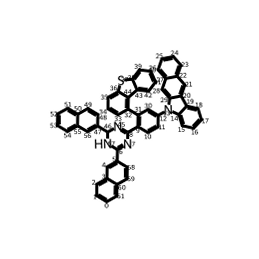 c1ccc2cc(C3=NC(c4ccc(-n5c6ccccc6c6cc7ccccc7cc65)cc4-c4cccc5sc6ccccc6c45)=NC(c4ccc5ccccc5c4)N3)ccc2c1